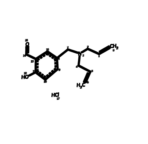 C=CCN(CC=C)Cc1ccc(O)c(C=O)c1.Cl